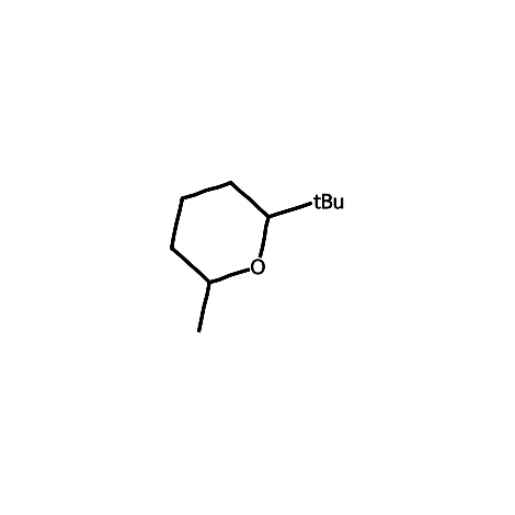 CC1CCCC(C(C)(C)C)O1